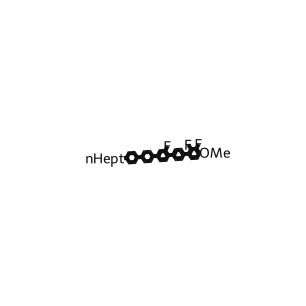 CCCCCCCC1CCC(C2CCC(c3ccc(-c4ccc(-c5ccc(OC)c(F)c5F)cc4)c(F)c3)CC2)CC1